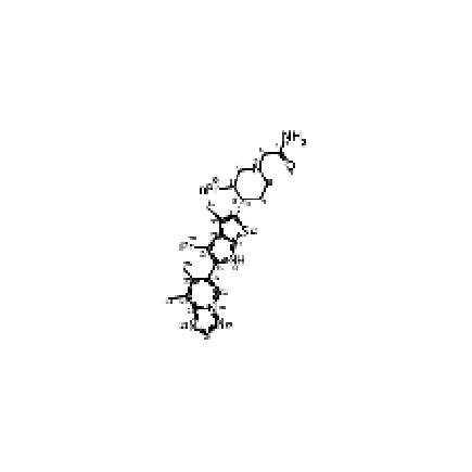 CCCC1CN(CC(N)=O)CC[C@@H]1c1sc2[nH]c(-c3cn4ncnc4c(C)c3C)c(C(C)C)c2c1C